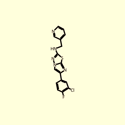 Fc1ccc(-c2cn3nc(NCc4cccnc4)sc3n2)cc1Cl